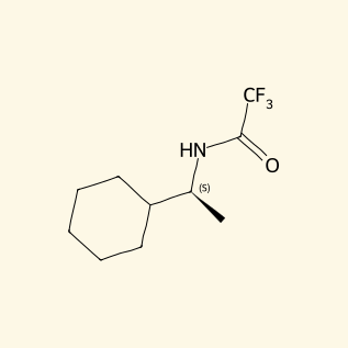 C[C@H](NC(=O)C(F)(F)F)C1CCCCC1